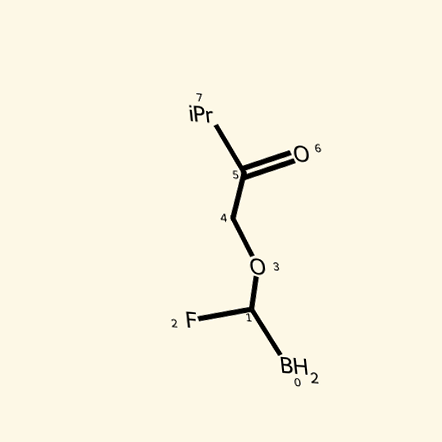 BC(F)OCC(=O)C(C)C